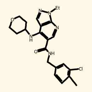 CCn1ncc2c(NC3CCOCC3)c(C(=O)NCc3ccc(C)c(Cl)c3)cnc21